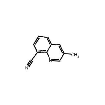 Cc1[c]nc2c(C#N)cccc2c1